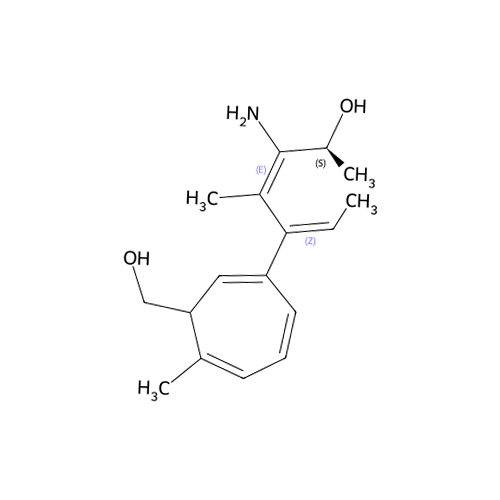 C/C=C(C1=CC(CO)C(C)=CC=C1)\C(C)=C(\N)[C@H](C)O